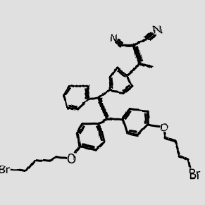 CC(=C(C#N)C#N)c1ccc(C(=C(c2ccc(OCCCCBr)cc2)c2ccc(OCCCCBr)cc2)c2ccccc2)cc1